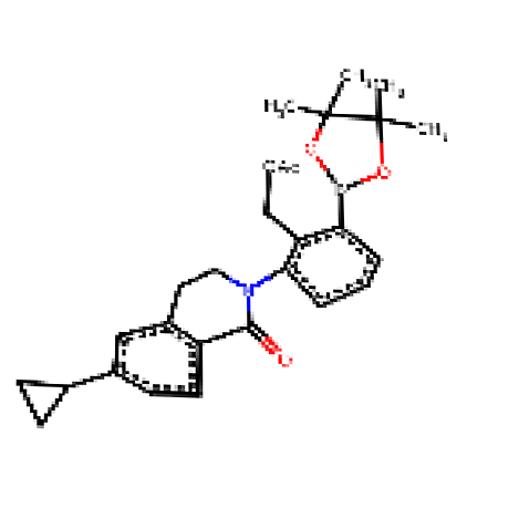 CC(=O)OCc1c(B2OC(C)(C)C(C)(C)O2)cccc1N1CCc2cc(C3CC3)ccc2C1=O